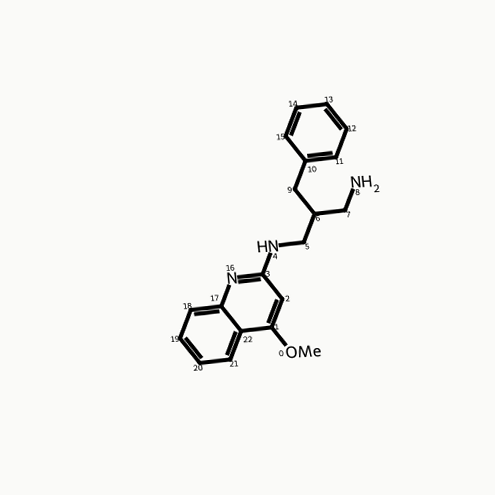 COc1cc(NCC(CN)Cc2ccccc2)nc2ccccc12